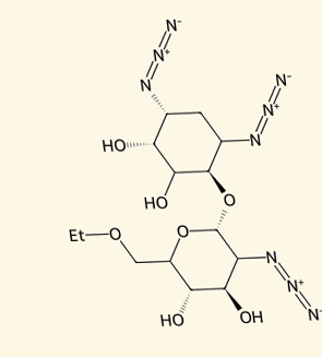 CCOCC1O[C@H](O[C@@H]2C(N=[N+]=[N-])C[C@@H](N=[N+]=[N-])[C@@H](O)C2O)C(N=[N+]=[N-])[C@@H](O)[C@@H]1O